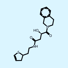 O=C(C[C@@H](O)C(=O)N1CCc2ccccc2C1)NCCC1CC=CS1